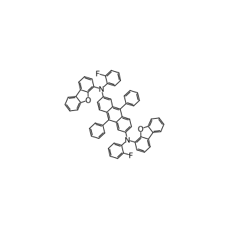 Fc1ccccc1N(c1ccc2c(-c3ccccc3)c3cc(N(c4ccccc4F)c4cccc5c4oc4ccccc45)ccc3c(-c3ccccc3)c2c1)c1cccc2c1oc1ccccc12